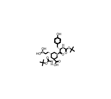 CC(C)(C)OC(=O)N[C@@H](Cc1ccc(O)cc1)C(=O)N1C[C@@H](CCB(O)O)C[C@](NC(=O)OC(C)(C)C)(C(=O)O)C1